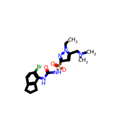 CCn1nc(S(=O)(=O)NC(=O)Nc2c(Br)ccc3c2CCC3)cc1CN(C)C